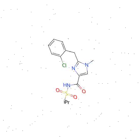 CC(C)S(=O)(=O)NC(=O)c1cn(C)c(Cc2ccccc2Cl)n1